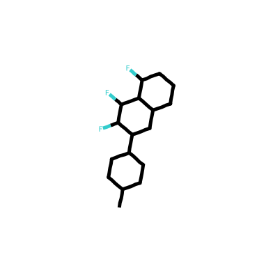 CC1CCC(C2CC3CCCC(F)C3C(F)C2F)CC1